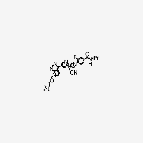 CC(C)NC(=O)c1ccc(N2CC(CC#N)(n3cc(-c4ncnc5c4ccn5COCC[Si](C)(C)C)cn3)C2)c(F)c1